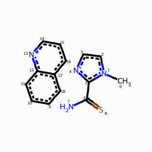 Cn1ccnc1C(N)=S.c1ccc2ncccc2c1